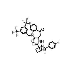 O=C(NC1(C(=O)N[C@@H]2CC(=O)c3ccccc3N(Cc3cc(C(F)(F)F)cc(C(F)(F)F)c3)C2=O)CCC1)c1ccc(F)cc1